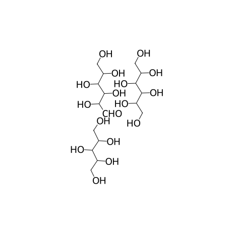 O=CC(O)C(O)C(O)C(O)CO.OCC(O)C(O)C(O)C(O)CO.OCC(O)C(O)C(O)CO